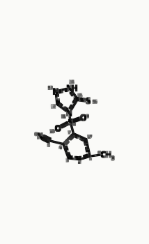 Cc1ccc(C#N)c(S(=O)(=O)n2cn[nH]c2=S)c1